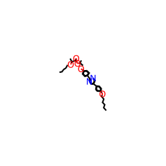 CCCCCCOc1ccc(-c2cnc(-c3ccc(OCC(C)OC(=O)C(C)OCCCCC)cc3)nc2)cc1